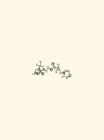 CN(C)OP(=O)(OC(C)(C)C)SCCOC(=O)C(C)(C)CCN1CCOCC1